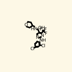 OC(NCC1CCOCC1)c1cnc(Nc2ccc(Cl)cc2Cl)nc1C(F)(F)F